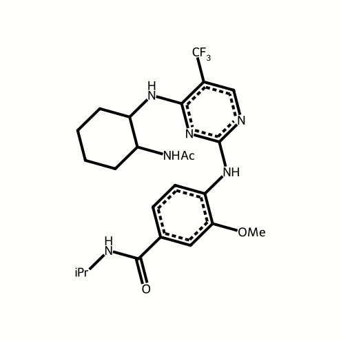 COc1cc(C(=O)NC(C)C)ccc1Nc1ncc(C(F)(F)F)c(NC2CCCCC2NC(C)=O)n1